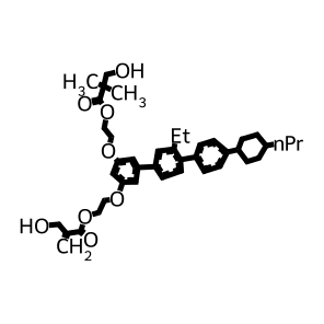 C=C(CO)C(=O)OCCOc1cc(OCCOC(=O)C(C)(C)CO)cc(-c2ccc(-c3ccc(C4CCC(CCC)CC4)cc3)c(CC)c2)c1